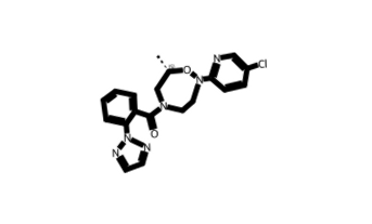 C[C@H]1CN(C(=O)c2ccccc2-n2nccn2)CCN(c2ccc(Cl)cn2)O1